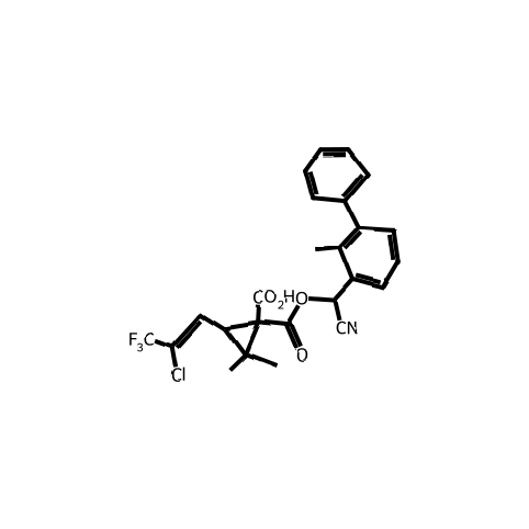 Cc1c(-c2ccccc2)cccc1C(C#N)OC(=O)C1(C(=O)O)C(C=C(Cl)C(F)(F)F)C1(C)C